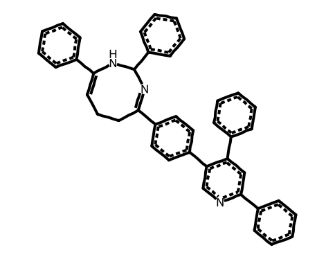 C1=C(/c2ccccc2)NC(c2ccccc2)/N=C(/c2ccc(-c3cnc(-c4ccccc4)cc3-c3ccccc3)cc2)CC/1